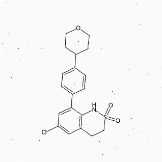 O=S1(=O)CCc2cc(Cl)cc(-c3ccc(C4CCOCC4)cc3)c2N1